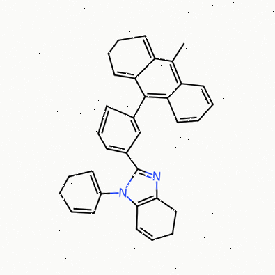 Cc1c2c(c(-c3cccc(-c4nc5c(n4C4=CCCC=C4)C=CCC5)c3)c3ccccc13)=CCCC=2